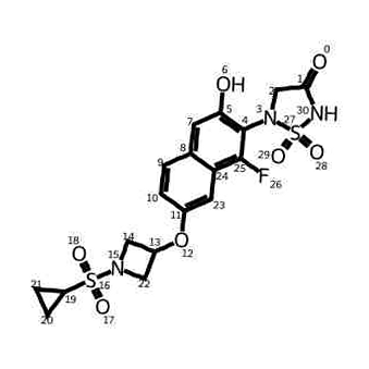 O=C1CN(c2c(O)cc3ccc(OC4CN(S(=O)(=O)C5CC5)C4)cc3c2F)S(=O)(=O)N1